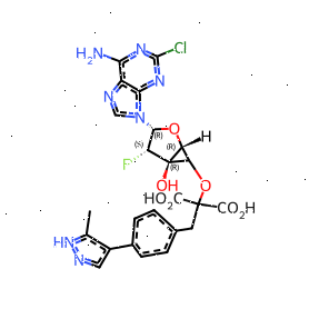 Cc1[nH]ncc1-c1ccc(CC(OC2[C@H]3O[C@@H](n4cnc5c(N)nc(Cl)nc54)[C@@H](F)[C@@]23O)(C(=O)O)C(=O)O)cc1